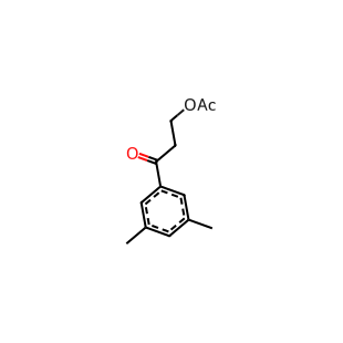 CC(=O)OCCC(=O)c1cc(C)cc(C)c1